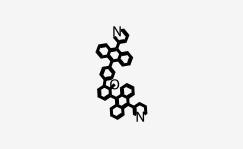 C1=CC2c3ccc(-c4c5ccccc5c(-c5cccnc5)c5ccccc45)cc3OC2C(c2c3c(c(C4=CN=CCC4)c4ccccc24)C=CCC3)=C1